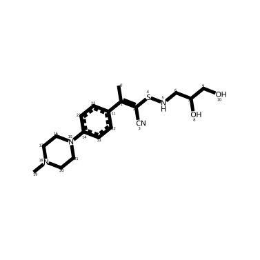 C/C(=C(/C#N)SNCC(O)CO)c1ccc(N2CCN(C)CC2)cc1